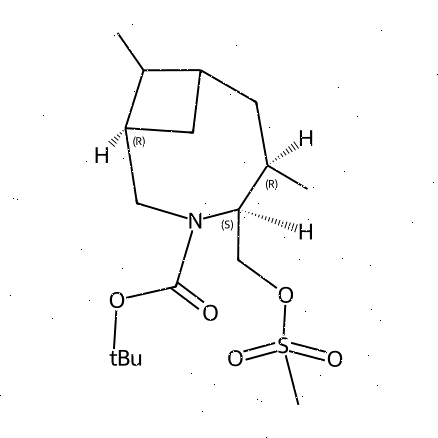 CC1C2C[C@H]1CN(C(=O)OC(C)(C)C)[C@H](COS(C)(=O)=O)[C@H](C)C2